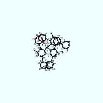 Cc1cc(-c2ccccc2)cc([Si](Cl)(c2cc(-c3ccccc3)cc(C)c2-c2ccccc2)c2cc(-c3ccccc3)cc(C)c2-c2ccccc2)c1-c1ccccc1